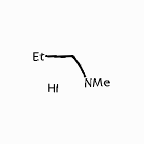 CCCNC.I